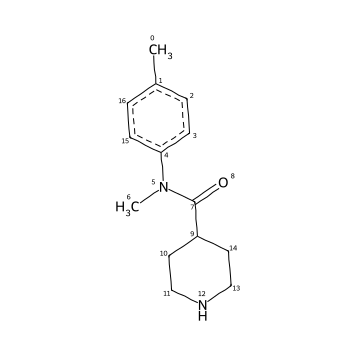 Cc1ccc(N(C)C(=O)C2CCNCC2)cc1